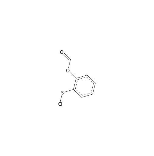 O=COc1ccccc1SCl